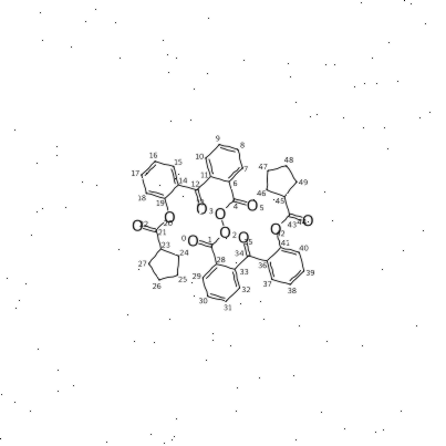 O=C(OOC(=O)c1ccccc1C(=O)c1ccccc1OC(=O)C1CCCC1)c1ccccc1C(=O)c1ccccc1OC(=O)C1CCCC1